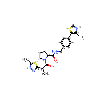 Cc1nnc(C(C)C(=O)N2CCCC2C(=O)NCc2ccc(-c3scnc3C)cc2)s1